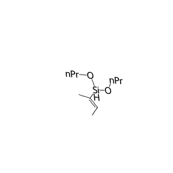 CC=C(C)[SiH](OCCC)OCCC